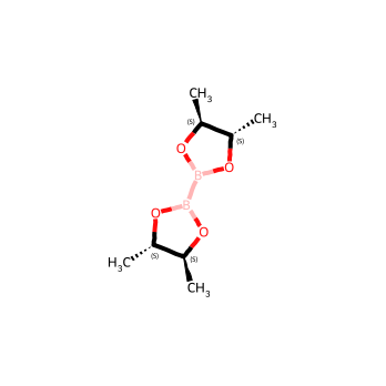 C[C@@H]1OB(B2O[C@@H](C)[C@H](C)O2)O[C@H]1C